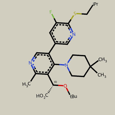 Cc1ncc(-c2cnc(SCC(C)C)c(F)c2)c(N2CCC(C)(C)CC2)c1[C@H](OC(C)(C)C)C(=O)O